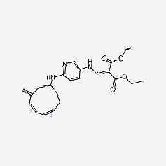 C=C1/C=C\C=C/CCC(Nc2ccc(NC=C(C(=O)OCC)C(=O)OCC)cn2)C1